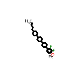 C/C=C/CCC1CCC(C2CCC(C3CC=C(c4ccc(OCC)c(F)c4F)CC3)CC2)CC1